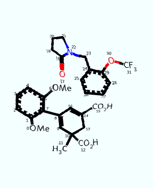 COc1cccc(OC)c1C1=CC(C)(C(=O)O)CC(C(=O)O)=C1.O=C1CCCN1Cc1ccccc1OC(F)(F)F